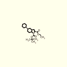 CCOC(=O)c1cc2cc(-c3ccccc3)ccc2n1C(=O)OC(C)(C)C